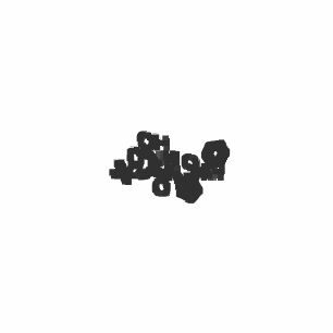 CC(C)(C)OCC(NC(=O)O)C(=O)Nn1cccc1C(=O)Nc1ccccc1